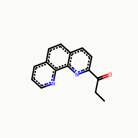 CCC(=O)c1ccc2ccc3cccnc3c2n1